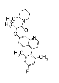 Cc1cc(F)cc(C)c1-c1ccnc2cc(OC(C)C(=O)N3CCCCC3C)ccc12